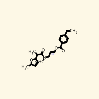 C=Cc1ccc(C(=O)O/C=C/CN(C=O)C(=O)C(C)C2C=CC(C)O2)cc1